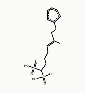 C/C(=C\CCCC(P(=O)(O)O)S(=O)(=O)O)COc1ccccc1